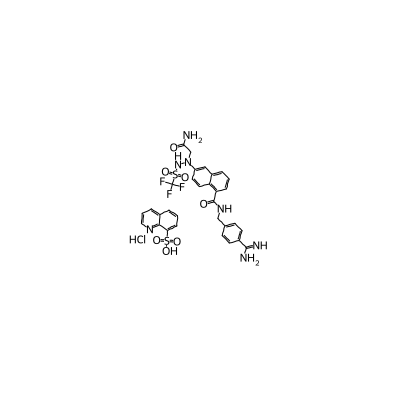 Cl.N=C(N)c1ccc(CNC(=O)c2cccc3cc(N(CC(N)=O)NS(=O)(=O)C(F)(F)F)ccc23)cc1.O=S(=O)(O)c1cccc2cccnc12